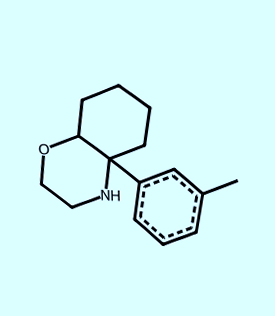 Cc1cccc(C23CCCCC2OCCN3)c1